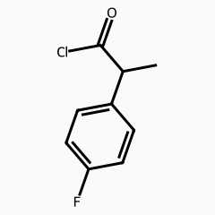 CC(C(=O)Cl)c1ccc(F)cc1